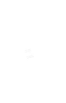 [Cu].[Cu].[O]=[Fe].[O]=[Ti]